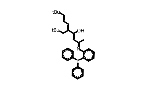 CC(/C=C(O)/C(=C/C=C/C(C)(C)C)CC(C)(C)C)=N\c1ccccc1P(c1ccccc1)c1ccccc1